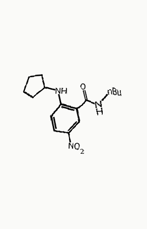 CCCCNC(=O)c1cc([N+](=O)[O-])ccc1NC1CCCC1